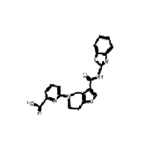 O=C(O)c1cccc(N2CCc3scc(C(=O)Nc4nc5ccccc5s4)c3C2)n1